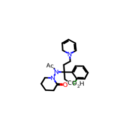 CC(=O)N(N1CCCCC1=O)C(CCN1C=CC=CC1)(CC(=O)O)c1ccccc1F